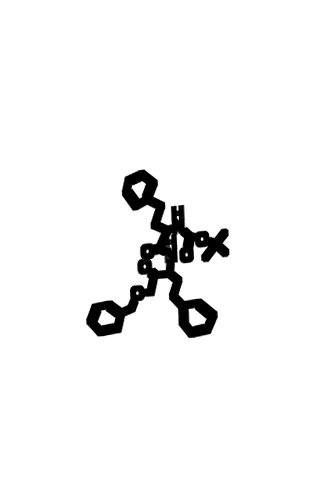 CC(C)(C)OC(=O)NC(CCc1ccccc1)C(=O)NC(CCc1ccccc1)C(=O)COCc1ccccc1